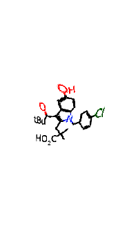 CC(C)(C)C(=O)c1c(CC(C)(C)C(=O)O)n(Cc2ccc(Cl)cc2)c2ccc(O)cc12